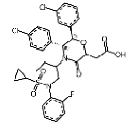 CCC(CN(c1ccccc1F)S(=O)(=O)C1CC1)N1C(=O)C(CC(=O)O)O[C@H](c2cccc(Cl)c2)[C@H]1c1ccc(Cl)cc1